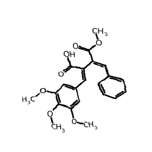 COC(=O)C(=C/c1ccccc1)/C(=C/c1cc(OC)c(OC)c(OC)c1)C(=O)O